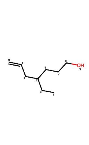 C=CCC(CC)CCCO